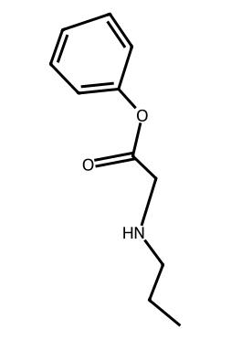 CCCNCC(=O)Oc1ccccc1